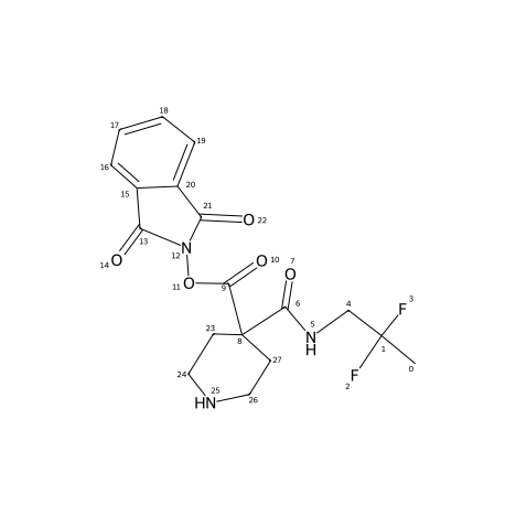 CC(F)(F)CNC(=O)C1(C(=O)ON2C(=O)c3ccccc3C2=O)CCNCC1